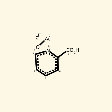 CC(=O)[O-].O=C(O)c1ccccn1.[Li+]